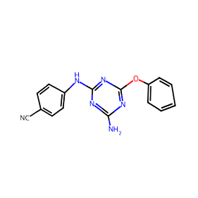 N#Cc1ccc(Nc2nc(N)nc(Oc3ccccc3)n2)cc1